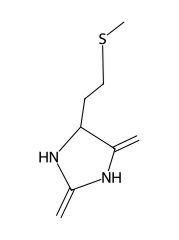 C=C1NC(=C)C(CCSC)N1